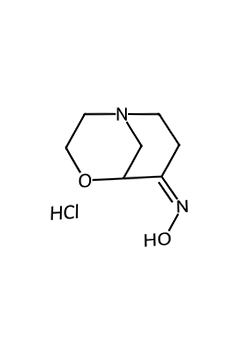 Cl.ON=C1CCN2CCOC1C2